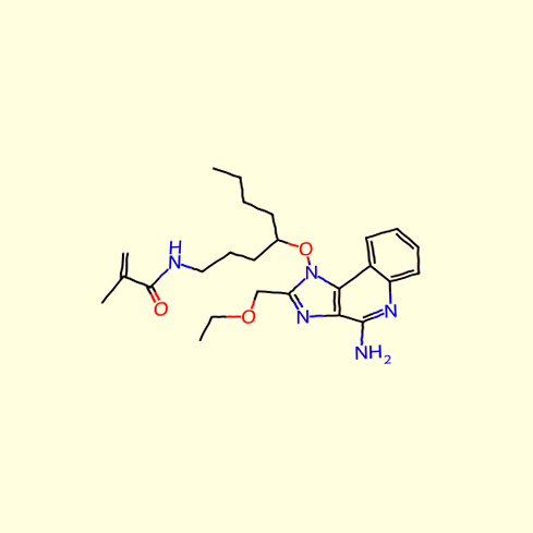 C=C(C)C(=O)NCCCC(CCCC)On1c(COCC)nc2c(N)nc3ccccc3c21